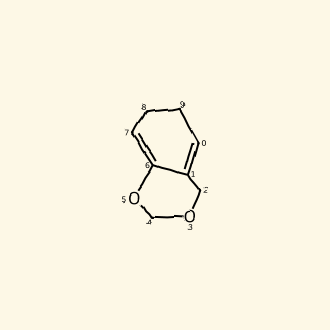 C1=C2COCOC2=CCC1